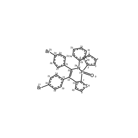 O=P1(c2cccs2)c2sccc2C(c2ccc(Br)cc2)=C(c2ccc(Br)cc2)N1c1ccccc1